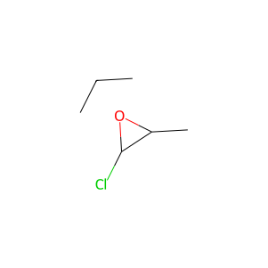 CC1OC1Cl.CCC